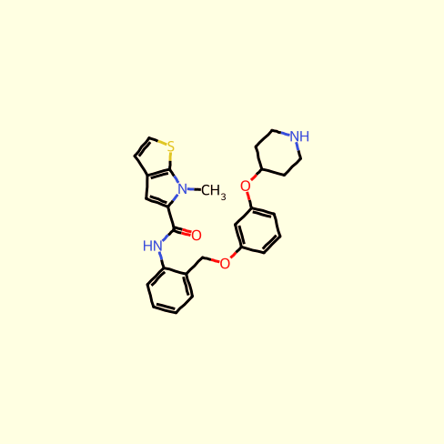 Cn1c(C(=O)Nc2ccccc2COc2cccc(OC3CCNCC3)c2)cc2ccsc21